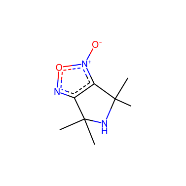 CC1(C)NC(C)(C)c2c1no[n+]2[O-]